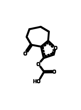 O=C(O)Oc1coc2c1C(=O)CCCC2